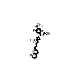 COc1ccc([C@H](CC(=O)O)N2CC(C)(CCCCc3ccc4c(n3)NCCC4)C2)cc1F